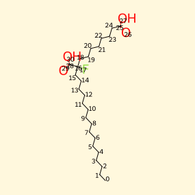 CCCCCCCCCCCCCCCCC(F)(CCCCCCCC(=O)O)C(=O)O